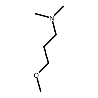 COCCCN(C)C